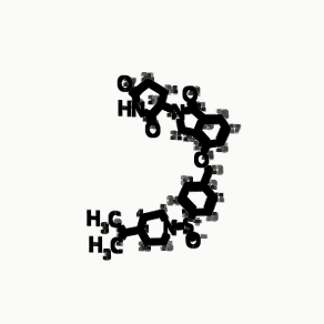 CC(C)C1CCN([S+]([O-])c2ccc(COc3cccc4c3CN(C3CCC(=O)NC3=O)C4=O)cc2)CC1